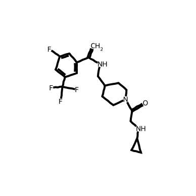 C=C(NCC1CCN(C(=O)CNC2CC2)CC1)c1cc(F)cc(C(F)(F)F)c1